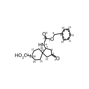 O=C1CC(NC(=O)OCc2ccccc2)C2(CCN(C(=O)O)CC2)C1